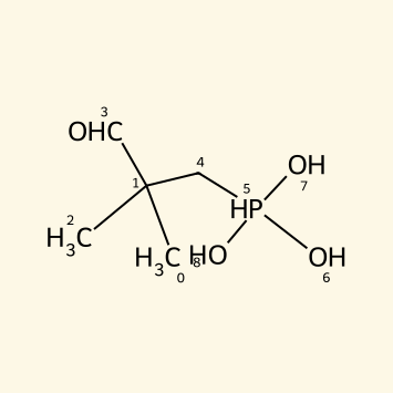 CC(C)(C=O)C[PH](O)(O)O